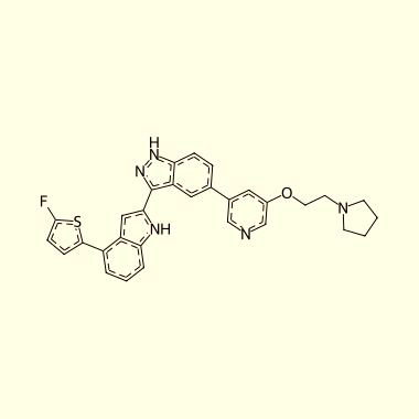 Fc1ccc(-c2cccc3[nH]c(-c4n[nH]c5ccc(-c6cncc(OCCN7CCCC7)c6)cc45)cc23)s1